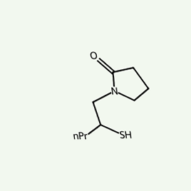 CCCC(S)CN1CCCC1=O